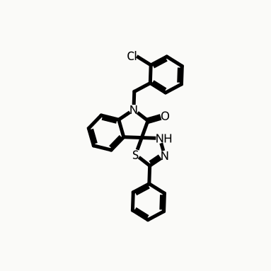 O=C1N(Cc2ccccc2Cl)c2ccccc2C12NN=C(c1ccccc1)S2